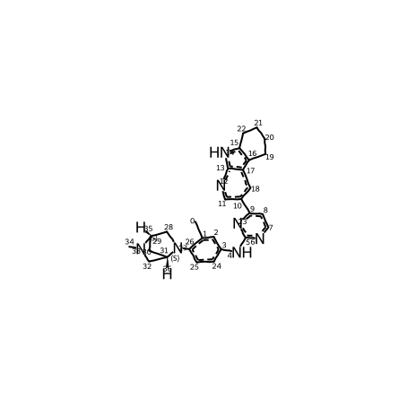 Cc1cc(Nc2nccc(-c3cnc4[nH]c5c(c4c3)CCCC5)n2)ccc1N1C[C@@H]2C[C@H]1CN2C